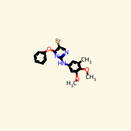 COc1cc(Nc2ncc(Br)c(Oc3ccccc3)n2)cc(C)c1OC